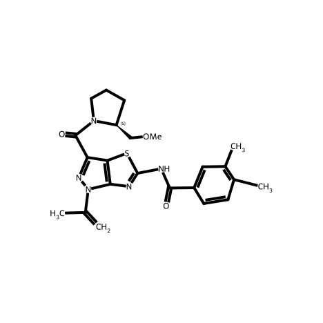 C=C(C)n1nc(C(=O)N2CCC[C@H]2COC)c2sc(NC(=O)c3ccc(C)c(C)c3)nc21